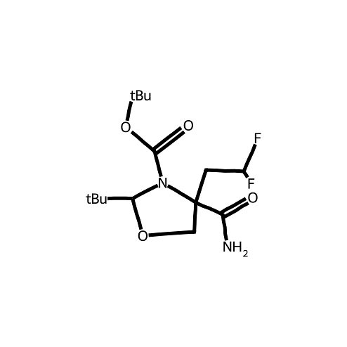 CC(C)(C)OC(=O)N1C(C(C)(C)C)OCC1(CC(F)F)C(N)=O